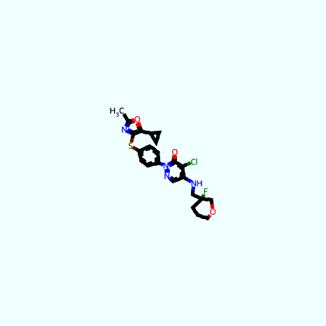 Cc1nc(Sc2ccc(-n3ncc(NCC4(F)CCCOC4)c(Cl)c3=O)cc2)c(C2CC2)o1